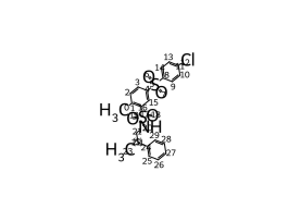 Cc1ccc(S(=O)(=O)c2ccc(Cl)cc2)cc1S(=O)(=O)NC[C@@H](C)c1ccccc1